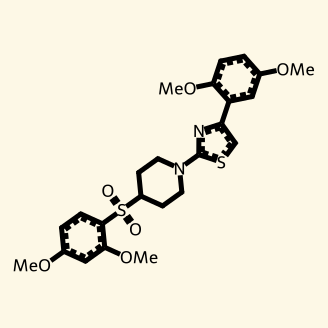 COc1ccc(S(=O)(=O)C2CCN(c3nc(-c4cc(OC)ccc4OC)cs3)CC2)c(OC)c1